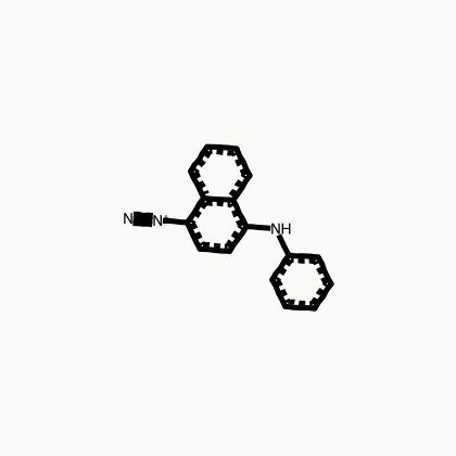 N#[N+]c1ccc(Nc2ccccc2)c2ccccc12